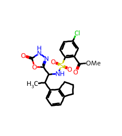 COC(=O)c1cc(Cl)ccc1S(=O)(=O)NC(c1n[nH]c(=O)o1)C(C)c1cccc2c1CCC2